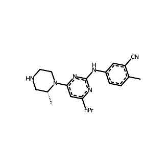 CCCc1cc(N2CCNC[C@H]2C)nc(Nc2ccc(C)c(C#N)c2)n1